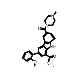 COc1ccccc1-c1cc(C(N)=O)c2[nH]c3ccc(C(=O)N4CCN(C)CC4)cc3c2c1